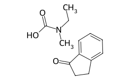 CCN(C)C(=O)O.O=C1CCc2ccccc21